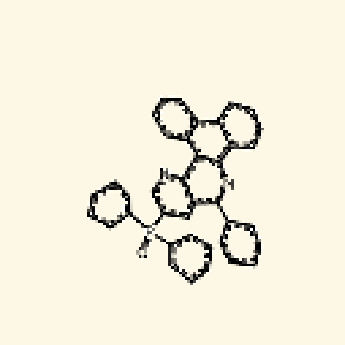 O=P(c1ccccc1)(c1ccccc1)c1cnc2c(c1)c(-c1ccccc1)nc1c3ccccc3c3ccccc3c21